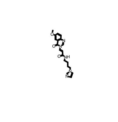 COc1ccc2ncn(C=CC(=O)NCCCCn3ccnc3)c(=O)c2c1